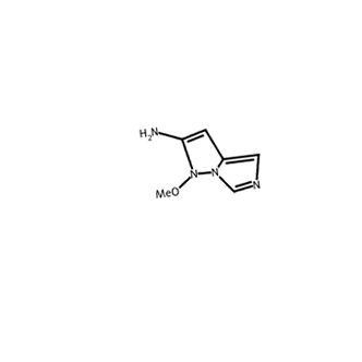 COn1c(N)cc2cncn21